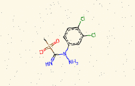 CS(=O)(=O)C(=N)N(N)c1ccc(Cl)c(Cl)c1